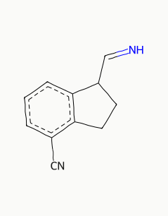 N#Cc1cccc2c1CCC2C=N